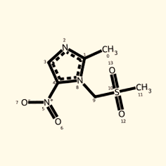 Cc1ncc([N+](=O)[O-])n1CS(C)(=O)=O